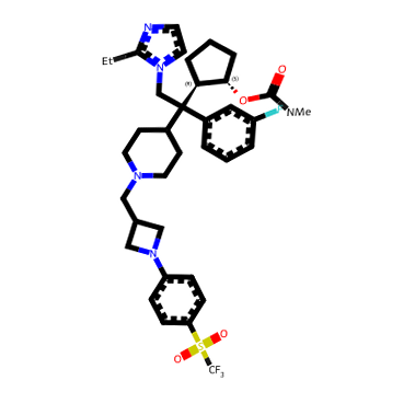 CCc1nccn1CC(c1cccc(F)c1)(C1CCN(CC2CN(c3ccc(S(=O)(=O)C(F)(F)F)cc3)C2)CC1)[C@H]1CCC[C@@H]1OC(=O)NC